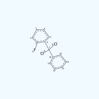 Fc1ccccc1C(Cl)(Cl)c1ccccc1